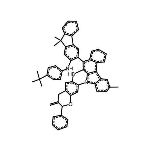 C=C1Cc2cc3c(cc2OC1c1ccccc1)-n1c2ccc(C)cc2c2c4ccccc4c(-c4cc5c(cc4Nc4ccc(C(C)(C)C)cc4)C(C)(C)c4ccccc4-5)c(c21)B3